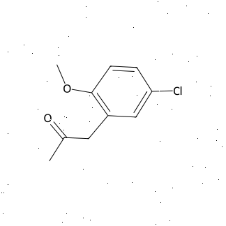 COc1ccc(Cl)cc1CC(C)=O